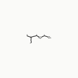 CC(C)COC[O]